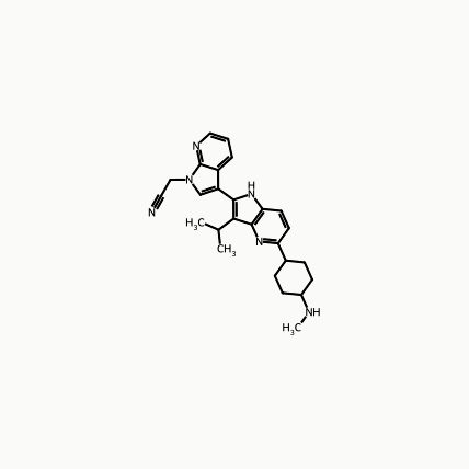 CNC1CCC(c2ccc3[nH]c(-c4cn(CC#N)c5ncccc45)c(C(C)C)c3n2)CC1